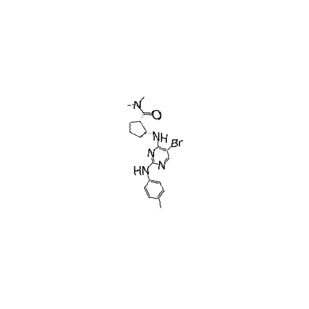 Cc1ccc(Nc2ncc(Br)c(N[C@@H]3CCC[C@@H]3C(=O)N(C)C)n2)cc1